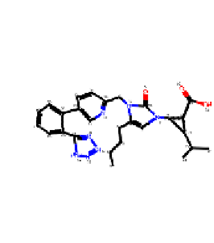 CCCCc1cn(C2C(C(=O)O)C2C(C)C)c(=O)n1Cc1ccc(-c2ccccc2-c2nnn[nH]2)cn1